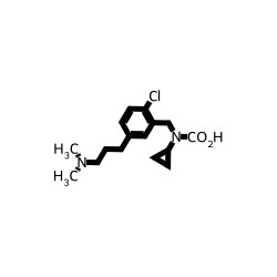 CN(C)CCCc1ccc(Cl)c(CN(C(=O)O)C2CC2)c1